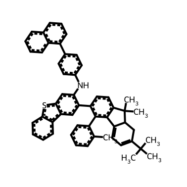 Cc1ccccc1-c1c(-c2cc3c(cc2Nc2ccc(-c4cccc5ccccc45)cc2)sc2ccccc23)ccc2c1C1=CC=C(C(C)(C)C)CC1C2(C)C